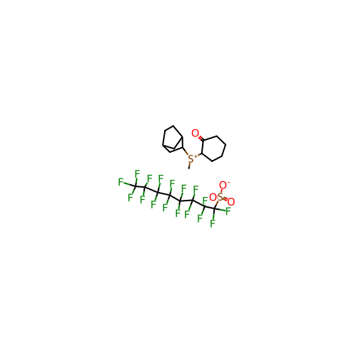 C[S+](C1CCCCC1=O)C1CC2CCC1C2.O=S(=O)([O-])C(F)(F)C(F)(F)C(F)(F)C(F)(F)C(F)(F)C(F)(F)C(F)(F)C(F)(F)F